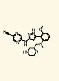 COc1cccc(N(C)C[C@@H]2CNCCO2)c1-c1cc(Nc2cnc(C#N)cn2)n[nH]1